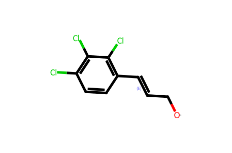 [O]C/C=C/c1ccc(Cl)c(Cl)c1Cl